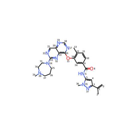 C=C(C)c1cc(NC(=O)c2ccc(C)c(Oc3ncnc4cnc(N5CCCN(C)CC5)nc34)c2)n(C)n1